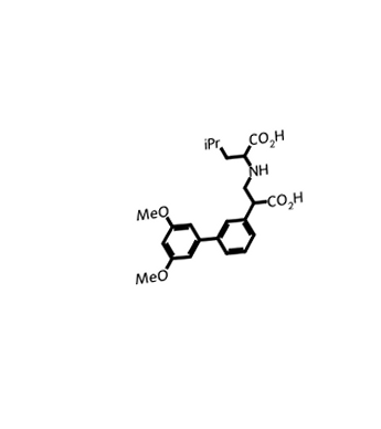 COc1cc(OC)cc(-c2cccc(C(CNC(CC(C)C)C(=O)O)C(=O)O)c2)c1